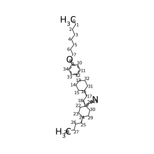 CCCCCCCCOc1ccc([C@H]2CC[C@H](CC[C@]3(C#N)CC[C@H](CCCC)CC3)CC2)cc1